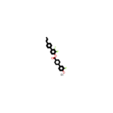 C/C=C/c1ccc(-c2ccc(OC(=O)C3CCC(c4ccc(OCC)c(F)c4)CC3)c(F)c2F)cc1